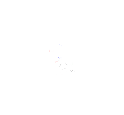 COc1c(Cl)cc(C(=O)NC[C@@H]2CCNCC2O)c2c1OCCCO2